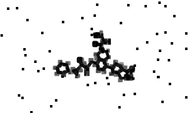 CC(C)(C)NC(=O)N1CCc2c(-c3ccc4c(c3)CNC4=O)ccc(CNC(=O)C3C[C@@H]3c3ccccc3)c2C1